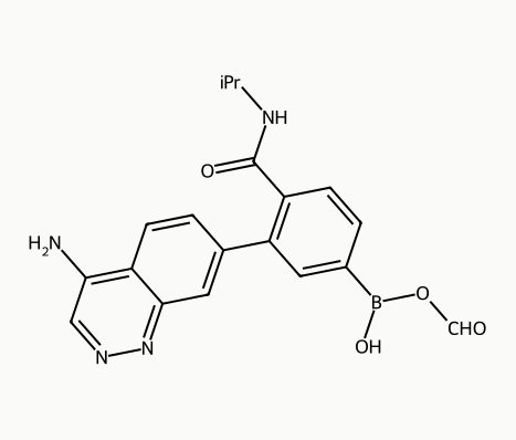 CC(C)NC(=O)c1ccc(B(O)OC=O)cc1-c1ccc2c(N)cnnc2c1